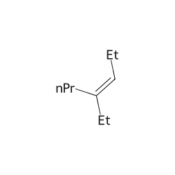 [CH2]CC=C(CC)CCC